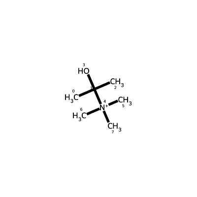 CC(C)(O)[N+](C)(C)C